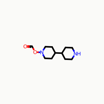 O=CON1CCC(C2CCNCC2)CC1